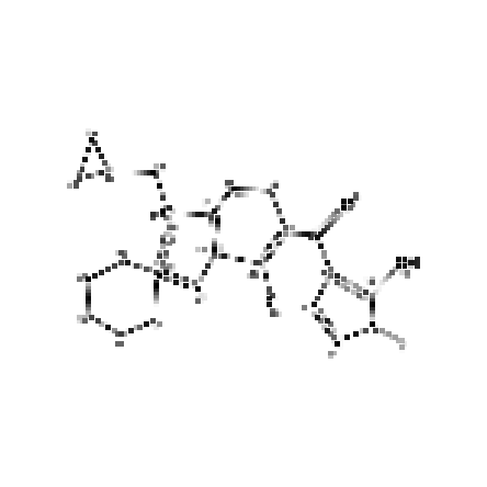 Cn1ncc(C(=O)c2ccc(OCC3CC3)c(N=S3(=O)CCCCC3)c2Cl)c1O